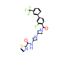 O=C(NC1CN(C2CN(C(=O)c3ccc(-c4cccc(C(F)(F)F)c4)cc3F)C2)C1)c1nccs1